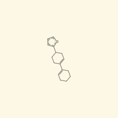 C1=C(C2=CCC(c3ccco3)CC2)CCCC1